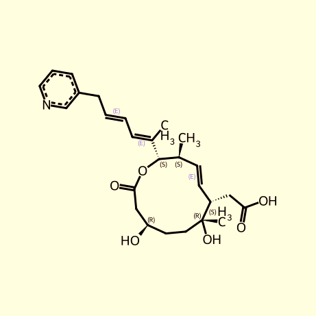 C/C(=C\C=C\Cc1cccnc1)[C@H]1OC(=O)C[C@H](O)CC[C@@](C)(O)[C@@H](CC(=O)O)/C=C/[C@@H]1C